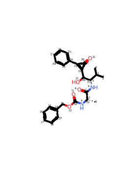 CC(C)[C@H](NC(=O)[C@H](C)NC(=O)OCc1ccccc1)C(O)c1c(-c2ccccc2)c1=O